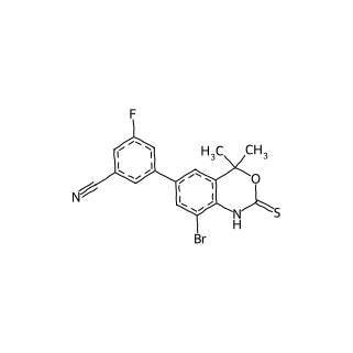 CC1(C)OC(=S)Nc2c(Br)cc(-c3cc(F)cc(C#N)c3)cc21